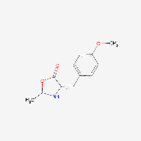 COc1ccc(/C=C2/NC(C)OC2=O)cc1